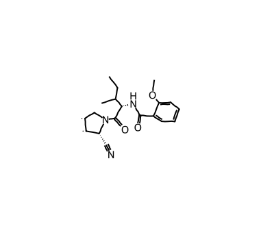 CCC(C)[C@H](NC(=O)c1ccccc1OC)C(=O)N1C[CH][CH][C@H]1C#N